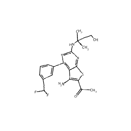 CC(=O)c1sc2nc(NC(C)(C)CO)nc(-c3cccc(C(F)F)c3)c2c1N